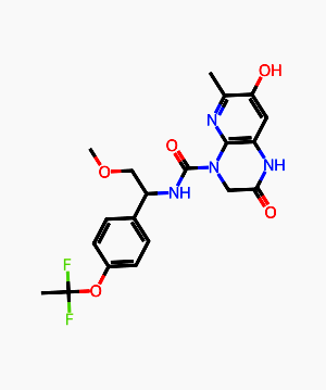 COCC(NC(=O)N1CC(=O)Nc2cc(O)c(C)nc21)c1ccc(OC(C)(F)F)cc1